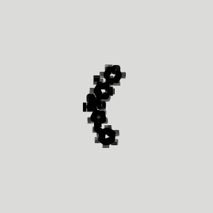 O=S(=O)(N[C@@H]1CCN(Cc2ccccc2)C1)c1cnc(N2CCOCC2)c(F)c1